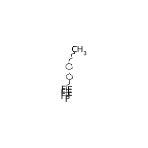 CCCCC[C@H]1CC[C@H](C2CCC(CCC(F)(F)C(F)(F)C(F)(F)F)CC2)CC1